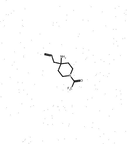 C=CCC1(N)CCN(C(=O)C(F)(F)F)CC1